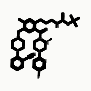 Cc1cc(CCCNC(=O)OC(C)(C)C)c(C(=O)N2CCN(c3ccc(F)cn3)C[C@H]2C)cc1CN1CCN(c2ccccc2C#N)CC1